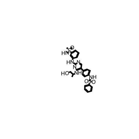 CC(CO)Nc1nc(Nc2cccc(S(C)(=N)=O)c2)ncc1-c1ccc(NS(=O)(=O)c2ccccc2)cc1